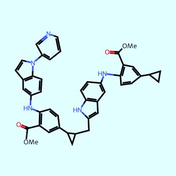 COC(=O)c1cc(C2CC2)ccc1Nc1ccc2[nH]c(CC3CC3c3ccc(Nc4ccc5c(ccn5-c5cccnc5)c4)c(C(=O)OC)c3)cc2c1